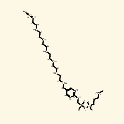 CNCCC[Si](C)(C)O[Si](C)(C)CSc1ncc(COCCOCCOCCOCCOCCOCCN=[N+]=[N-])cn1